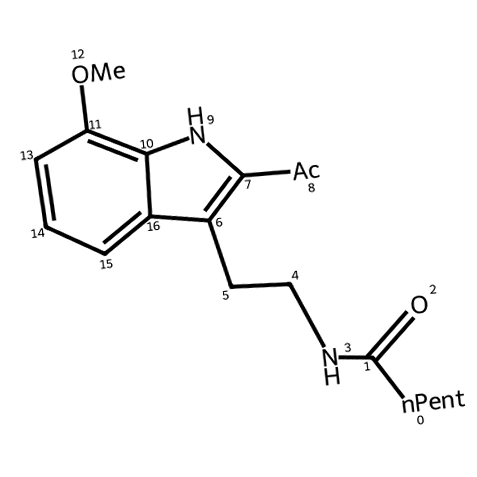 CCCCCC(=O)NCCc1c(C(C)=O)[nH]c2c(OC)cccc12